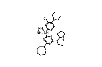 CCC(c1nc(Nc2ccc(N(CC)CC)c(Cl)c2)nc(C2CCCCCC2)n1)C1CCCN1.NN